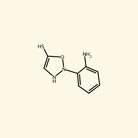 Nc1ccccc1N1NC=C(S)O1